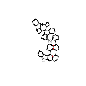 c1ccc(-c2ccc(-c3ccccc3N(c3ccc(-c4cccc5sc6ccccc6c45)cc3)c3cccc4c3-c3ccccc3C43c4ccccc4-n4c5ccccc5c5cccc3c54)cc2)cc1